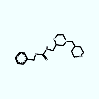 O=C(NCC1CN(CC2CCNCC2)CCO1)OCc1ccccc1